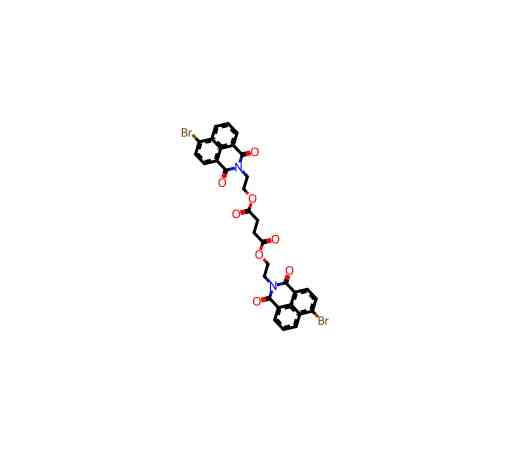 O=C(CCC(=O)OCCN1C(=O)c2cccc3c(Br)ccc(c23)C1=O)OCCN1C(=O)c2cccc3c(Br)ccc(c23)C1=O